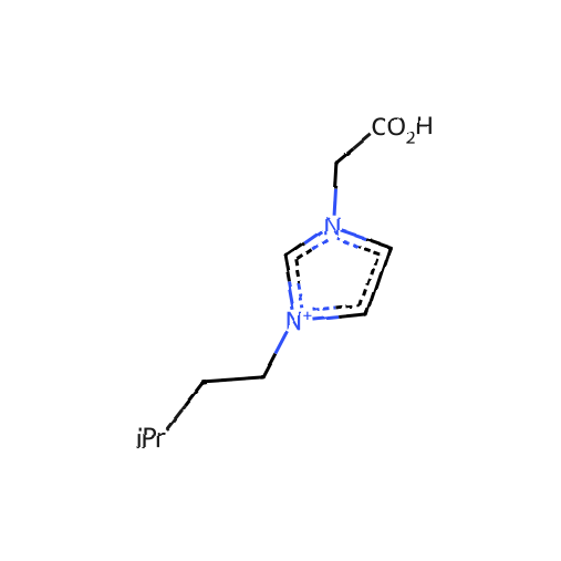 CC(C)CC[n+]1ccn(CC(=O)O)c1